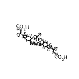 COc1cc2cc(C(=O)CCC(=O)O)sc2cc1COC(=O)OCc1cc2sc(C(=O)CCC(=O)O)cc2cc1OC